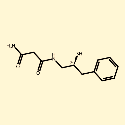 NC(=O)CC(=O)NC[C@@H](S)Cc1ccccc1